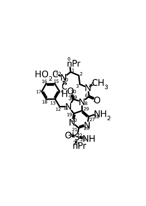 CCCC(CCN(C)C(=O)n1c(=O)n(Cc2ccccc2)c2nc(S(=N)(=O)CCC)nc(N)c21)N(C)C(=O)O